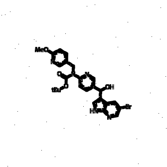 COc1ccc(CN(C(=O)OC(C)(C)C)c2ccc(C(O)c3c[nH]c4ncc(Br)cc34)cn2)cn1